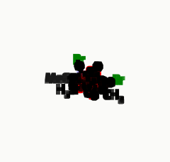 COc1ccc([Si]2(/C=C/c3ccc(Br)cc3)O[SiH]3CO[Si]4(c5ccccc5)O[SiH](c5ccccc5)O[Si]5(c6ccccc6)O[Si](/C=C/c6ccc(Br)cc6)(c6ccc(C)cc6)O[Si](c6ccccc6)(O4)O[Si](c4ccccc4)(O3)O[Si](c3ccccc3)(O[Si](O[SiH3])(c3ccccc3)O2)O5)cc1